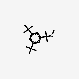 [C]OC(C)(C)c1cc(C(C)(C)C)cc(C(C)(C)C)c1